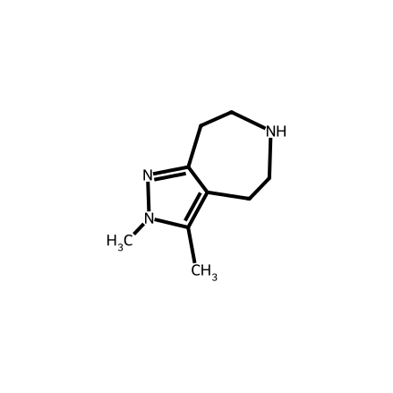 Cc1c2c(nn1C)CCNCC2